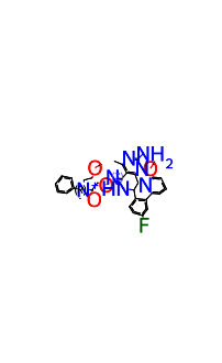 COCC[N@@+](C)(C(=O)CO/N=C1\NC(c2ccc(F)cc2-c2cccc(OC)n2)Cc2nc(N)nc(C)c21)c1ccccc1